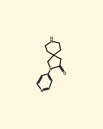 O=C1CC2(CCNCC2)CN1c1ccncc1